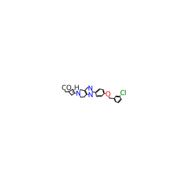 O=C(O)CC1CC(N2CCc3nc(-c4ccc(OCc5cccc(Cl)c5)cc4)ncc3C2)C1